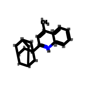 Cc1cc(C23CC4CC(CC(C4)C2)C3)nc2ccccc12